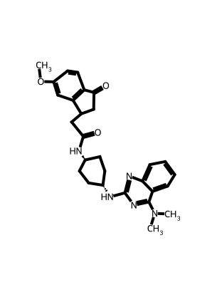 COc1ccc2c(c1)C(CC(=O)N[C@H]1CC[C@@H](Nc3nc(N(C)C)c4ccccc4n3)CC1)CC2=O